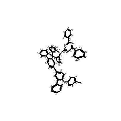 Cc1ccc(-n2c3ccccc3c3cc(-c4ccc5c(c4)C4(c6ccccc6-5)c5ccccc5N(c5nc(-c6ccccc6)nc(-c6ccccc6)n5)c5ccccc54)ccc32)cc1